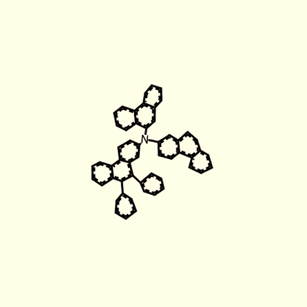 c1ccc(-c2c(-c3ccccc3)c3cc(N(c4ccc5c(ccc6ccccc65)c4)c4cc5ccccc5c5ccccc45)ccc3c3ccccc23)cc1